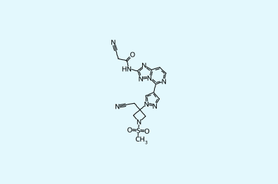 CS(=O)(=O)N1CC(CC#N)(n2cc(-c3nccc4nc(NC(=O)CC#N)nn34)cn2)C1